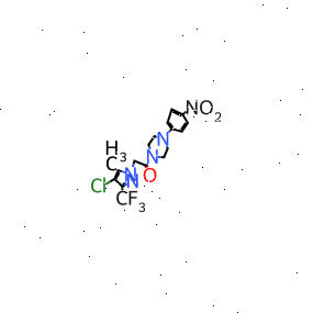 Cc1c(Cl)c(C(F)(F)F)nn1CC(=O)N1CCN(c2ccc([N+](=O)[O-])cc2)CC1